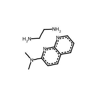 CN(C)c1ccc2cccnc2n1.NCCN